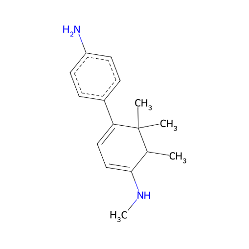 CNC1=CC=C(c2ccc(N)cc2)C(C)(C)C1C